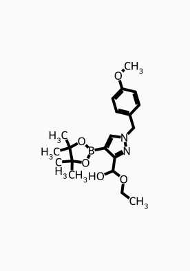 CCOC(O)c1nn(Cc2ccc(OC)cc2)cc1B1OC(C)(C)C(C)(C)O1